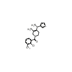 NC1=C(N(N)c2ccsc2)CCN(C(=O)c2cccc(C(F)(F)F)c2Cl)C1